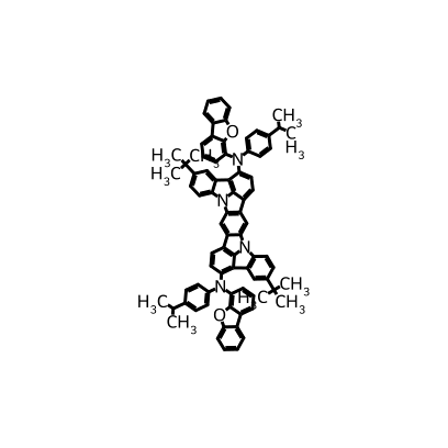 CC(C)c1ccc(N(c2cccc3c2oc2ccccc23)c2ccc3c4cc5c(cc4n4c6ccc(C(C)(C)C)cc6c2c34)c2ccc(N(c3ccc(C(C)C)cc3)c3cccc4c3oc3ccccc34)c3c4cc(C(C)(C)C)ccc4n5c23)cc1